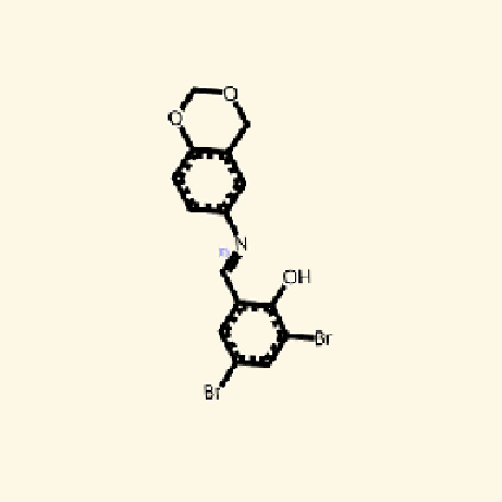 Oc1c(Br)cc(Br)cc1/C=N/c1ccc2c(c1)COCO2